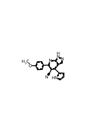 COc1ccc(-c2nc3[nH]ncc3c(-c3ccc[nH]3)c2C#N)cc1